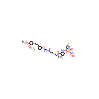 COc1ccc(CCCc2cccc(OCCNC(=O)CCCCCN(C)C(=O)c3cccc(NC(=O)[C@@H]4C[C@H](S)CN4C(=O)PNBO)c3)c2)cc1OC